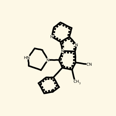 Cc1c(-c2ccccc2)c(N2CCNCC2)n2c(nc3cccnc32)c1C#N